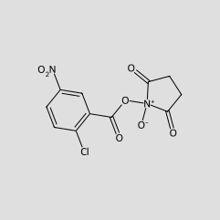 O=C(O[N+]1([O-])C(=O)CCC1=O)c1cc([N+](=O)[O-])ccc1Cl